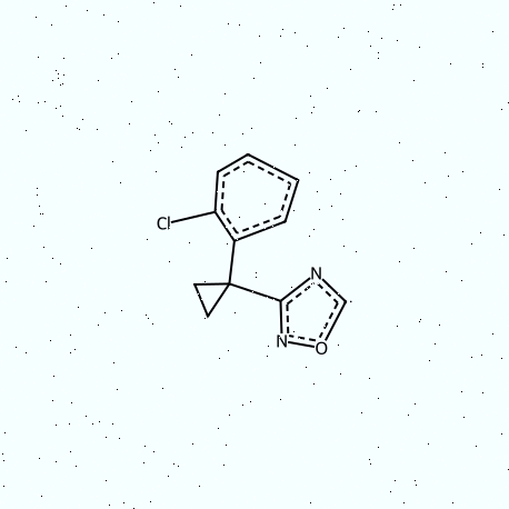 Clc1ccccc1C1(c2n[c]on2)CC1